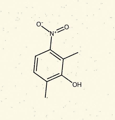 [CH2]c1ccc([N+](=O)[O-])c(C)c1O